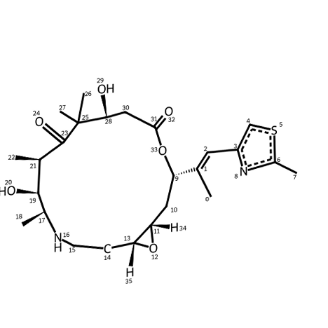 CC(=Cc1csc(C)n1)[C@@H]1C[C@@H]2O[C@@H]2CCN[C@@H](C)[C@@H](O)[C@@H](C)C(=O)C(C)(C)[C@@H](O)CC(=O)O1